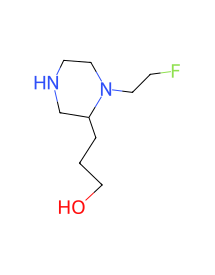 OCCCC1CNCCN1CCF